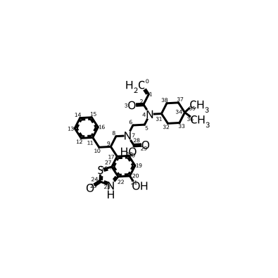 C=CC(=O)N(CCN(CC(Cc1ccccc1)c1ccc(O)c2[nH]c(=O)sc12)C(=O)O)C1CCC(C)(C)CC1